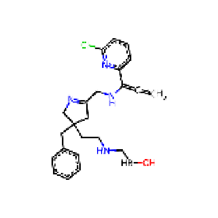 C=C=C(NCC1=NCC(CCNCBO)(Cc2ccccc2)C1)c1cccc(Cl)n1